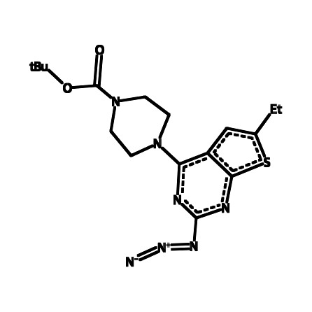 CCc1cc2c(N3CCN(C(=O)OC(C)(C)C)CC3)nc(N=[N+]=[N-])nc2s1